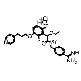 CCOC(C(=O)NCc1ccc(C(=N)N)cc1)c1c(F)ccc(OCCCc2ccncc2)c1F.Cl.Cl